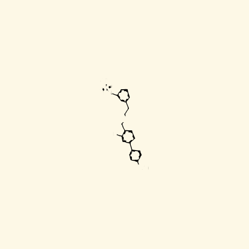 CC(C)(C)c1ccc(-c2ccc(COCCc3cccc(NS(=O)(=O)C(F)(F)F)c3)c(F)c2)cc1